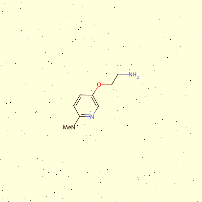 CNc1ccc(OCCN)cn1